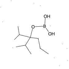 CCCC(OB(O)O)(C(C)C)C(C)C